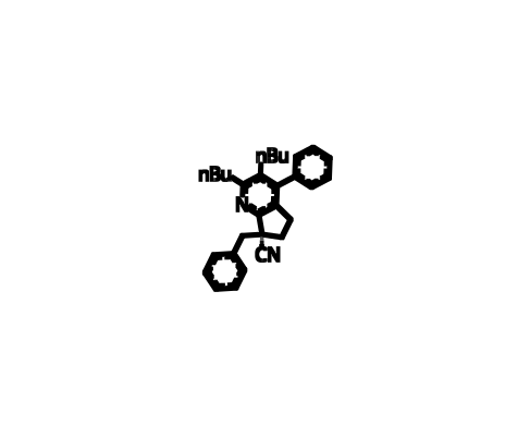 CCCCc1nc2c(c(-c3ccccc3)c1CCCC)CC[C@@]2(C#N)Cc1ccccc1